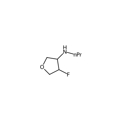 CCCNC1COCC1F